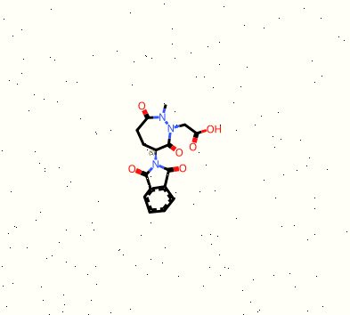 CN1C(=O)CC[C@H](N2C(=O)c3ccccc3C2=O)C(=O)N1CC(=O)O